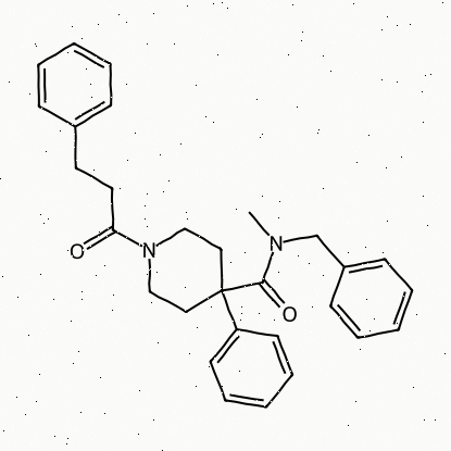 CN(Cc1ccccc1)C(=O)C1(c2ccccc2)CCN(C(=O)CCc2ccccc2)CC1